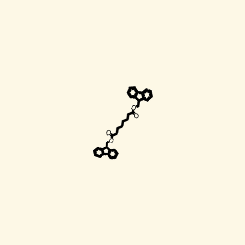 O=C(CCCCCCC(=O)OCC1c2ccccc2-c2ccccc21)OCC1c2ccccc2-c2ccccc21